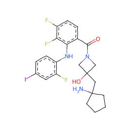 NC1(CC2(O)CN(C(=O)c3ccc(F)c(F)c3Nc3ccc(I)cc3F)C2)CCCC1